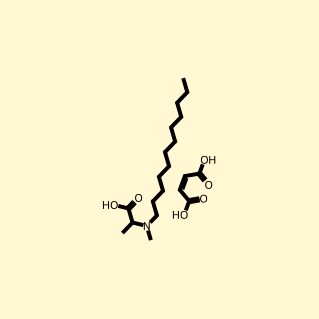 CCCCCCCCCCCCN(C)C(C)C(=O)O.O=C(O)/C=C\C(=O)O